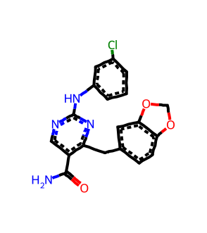 NC(=O)c1cnc(Nc2cccc(Cl)c2)nc1[CH]c1ccc2c(c1)OCO2